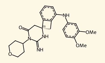 COc1ccc(Nc2cccc3c2C[C@]32CC(=O)N(C3CCOCC3)C(=N)N2)cc1OC